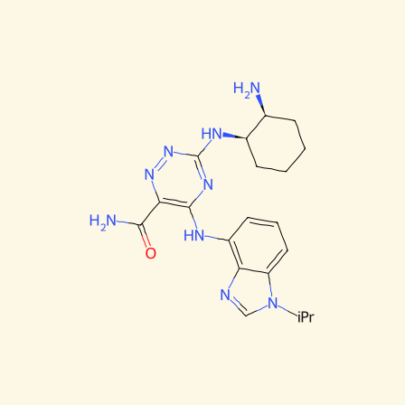 CC(C)n1cnc2c(Nc3nc(N[C@@H]4CCCC[C@@H]4N)nnc3C(N)=O)cccc21